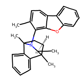 Cc1ccc2c(oc3ccccc32)c1N1[C@@H](C)C2(C)CCC1(C)c1ccccc12